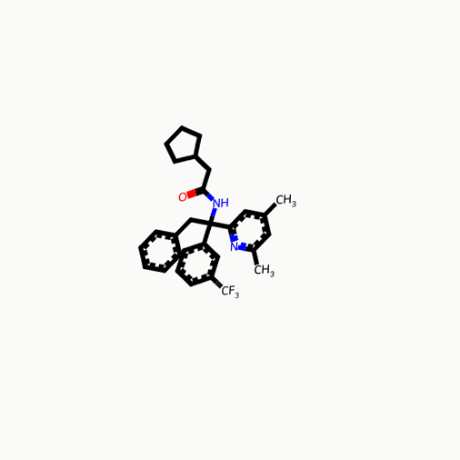 Cc1cc(C)nc(C(Cc2ccccc2)(NC(=O)CC2CCCC2)c2cccc(C(F)(F)F)c2)c1